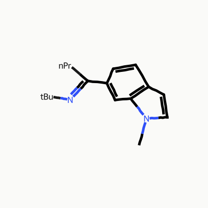 CCCC(=NC(C)(C)C)c1ccc2ccn(C)c2c1